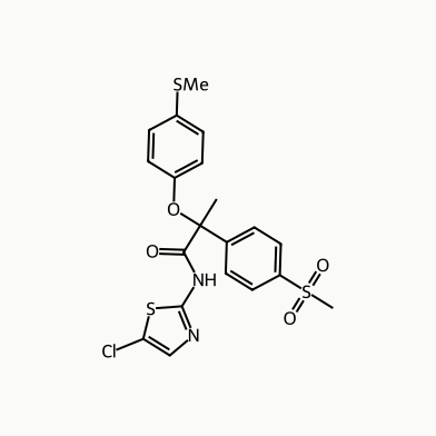 CSc1ccc(OC(C)(C(=O)Nc2ncc(Cl)s2)c2ccc(S(C)(=O)=O)cc2)cc1